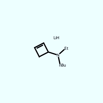 CCCCN(CC)C1[CH]C=C1.[LiH]